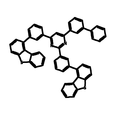 c1ccc(-c2cccc(-c3cc(-c4cccc(-c5cccc6sc7ccccc7c56)c4)nc(-c4cccc(-c5cccc6sc7ccccc7c56)c4)n3)c2)cc1